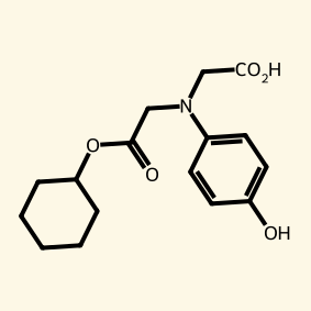 O=C(O)CN(CC(=O)OC1CCCCC1)c1ccc(O)cc1